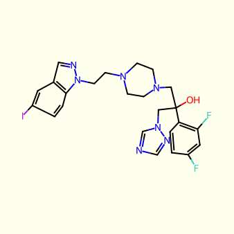 OC(CN1CCN(CCn2ncc3cc(I)ccc32)CC1)(Cn1cncn1)c1ccc(F)cc1F